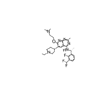 CCN1CCC(c2cc3c(N[C@H](C)c4cccc(C(F)F)c4F)nc(C)nc3nc2OCCN(C)C)CC1